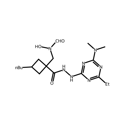 CCCCC1CC(CN(O)C=O)(C(=O)NNc2nc(CC)nc(N(C)C)n2)C1